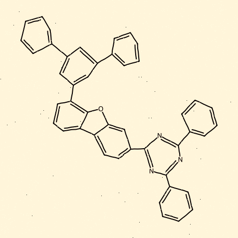 c1ccc(-c2cc(-c3ccccc3)cc(-c3cccc4c3oc3cc(-c5nc(-c6ccccc6)nc(-c6ccccc6)n5)ccc34)c2)cc1